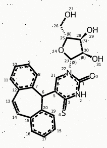 O=c1[nH]c(=S)c(C2c3ccccc3C=Cc3ccccc32)cn1[C@@H]1O[C@H](CO)[C@@H](O)[C@H]1O